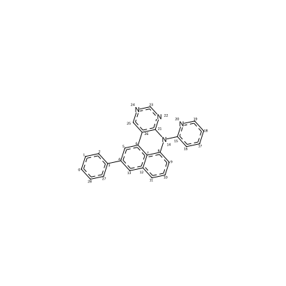 c1ccc(-c2cc3c4c(cccc4c2)N(c2ccccn2)c2ncncc2-3)cc1